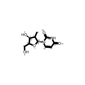 CC1[C@H](O)C(CO)O[C@@H]1n1ccc(=O)[nH]c1=O